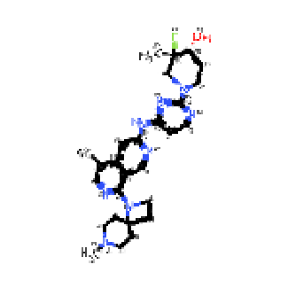 CC(C)c1cnc(N2CCC23CCN(C)CC3)c2cnc(Nc3ccnc(N4CC[C@@H](O)[C@@](C)(F)C4)n3)cc12